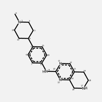 CN1CCC(c2ccc(Nc3ncc4c(n3)CNCC4)cc2)CC1